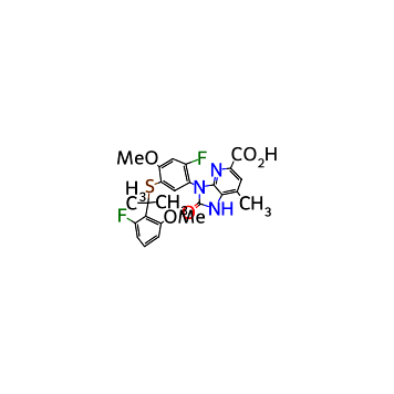 COc1cc(F)c(-n2c(=O)[nH]c3c(C)cc(C(=O)O)nc32)cc1SC(C)(C)c1c(F)cccc1OC